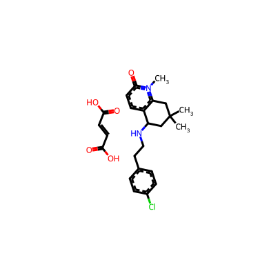 Cn1c2c(ccc1=O)C(NCCc1ccc(Cl)cc1)CC(C)(C)C2.O=C(O)C=CC(=O)O